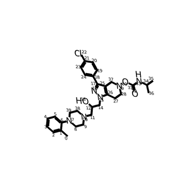 Cc1ccccc1N1CCN(CC(O)Cn2nc(-c3ccc(Cl)cc3)c3c2CCN(OC(=O)NC(C)C)C3)CC1